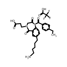 CCc1ccc(C(=O)N2C(=O)CN(CCC(=O)O)C(=O)c3cc(CCCCCN)ccc32)cc1.O=C(O)C(F)(F)F